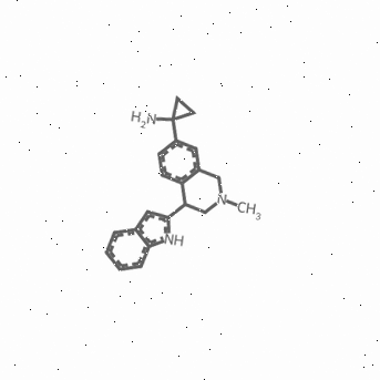 CN1Cc2cc(C3(N)CC3)ccc2C(c2cc3ccccc3[nH]2)C1